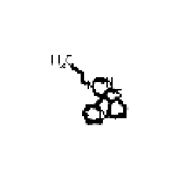 CCCCN1C=NC(=S)C(c2ccccn2)(C2CC=CCC2)C1